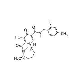 Cc1ccc(CNC(=O)c2cn3c(c(O)c2=O)C(=O)N2C[C@@H]3CCC[C@H]2C)c(F)c1